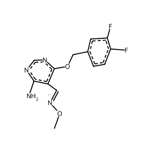 CO/N=C/c1c(N)ncnc1OCc1ccc(F)c(F)c1